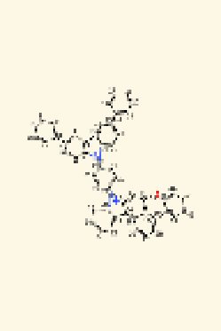 c1ccc(-c2ccc3c(c2)c2cc(-c4ccccc4)ccc2n3-c2ccc(-n3c4ccccc4c4c5cccc6c5c(cc43)Oc3ccccc3-6)cc2)cc1